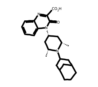 C[C@@H]1C[C@H](n2c(=O)c(C(=O)O)nc3ccccc32)C[C@H](C)N1C1CC2CCCC(C2)C1